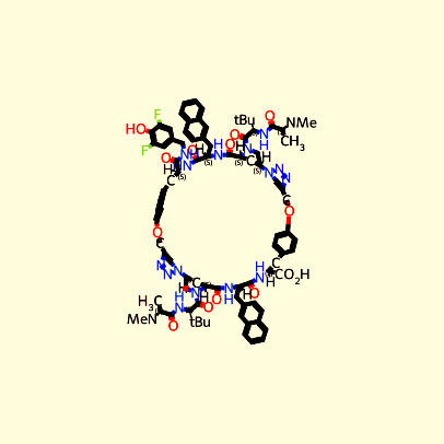 CN[C@@H](C)C(=O)N[C@H](C(=O)N1C[C@@H]2C[C@H]1C(=O)N[C@@H](Cc1ccc3ccccc3c1)C(=O)N[C@H](C(=O)O)Cc1ccc(cc1)OCc1cn(nn1)[C@H]1C[C@@H](C(=O)N[C@@H](Cc3ccc4ccccc4c3)C(=O)N[C@H](C(=O)NCc3cc(F)c(O)c(F)c3)Cc3ccc(cc3)OCc3cn2nn3)N(C(=O)[C@@H](NC(=O)[C@H](C)NC)C(C)(C)C)C1)C(C)(C)C